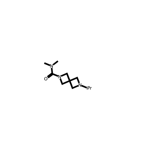 CC(C)N1CC2(CN(C(=O)N(C)C)C2)C1